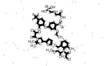 CC1(C)OC(c2ccco2)CN1C(=O)C(Cl)Cl.CCOc1cc(Oc2ccc(C(F)(F)F)cc2Cl)ccc1[N+](=O)[O-].CCc1cccc(C)c1N(C(=O)CCl)C(C)COC.O=C(O)CNCP(=O)(O)O